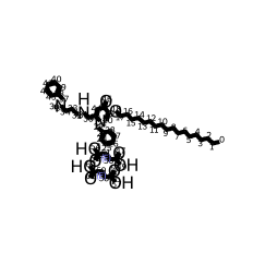 CCCCCCCCCCCCCCCCCCOc1cn(Cc2ccccc2)c(CNCCCN(C)Cc2ccccc2)cc1=O.O=C(O)/C=C/C(=O)O.O=C(O)/C=C/C(=O)O